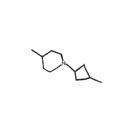 CC1CCN(C2CC(C)C2)CC1